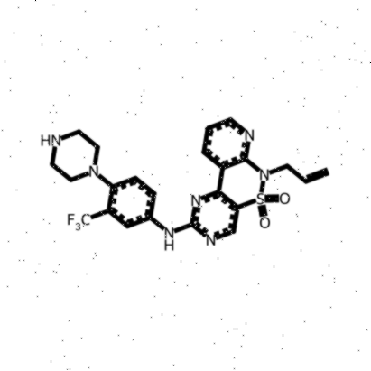 C=CCN1c2ncccc2-c2nc(Nc3ccc(N4CCNCC4)c(C(F)(F)F)c3)ncc2S1(=O)=O